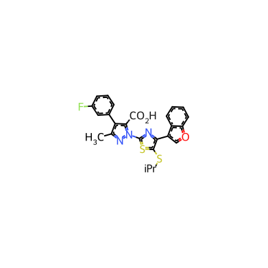 Cc1nn(-c2nc(-c3coc4ccccc34)c(SC(C)C)s2)c(C(=O)O)c1-c1cccc(F)c1